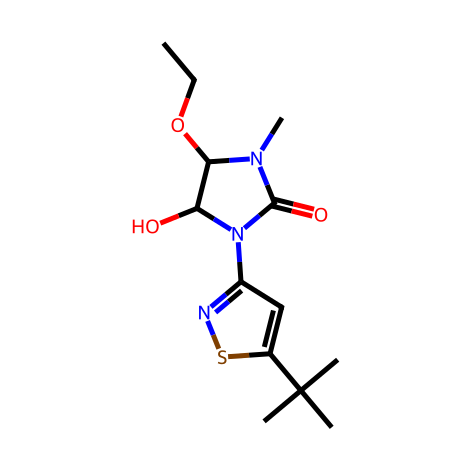 CCOC1C(O)N(c2cc(C(C)(C)C)sn2)C(=O)N1C